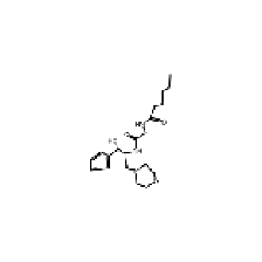 CCCCCC(=O)NCC(=O)N[C@@H](CN1CCOCC1)[C@@H](O)c1ccccc1